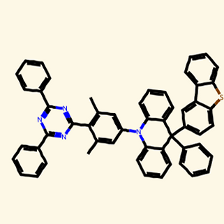 Cc1cc(N2c3ccccc3C(c3ccccc3)(c3ccc4sc5ccccc5c4c3)c3ccccc32)cc(C)c1-c1nc(-c2ccccc2)nc(-c2ccccc2)n1